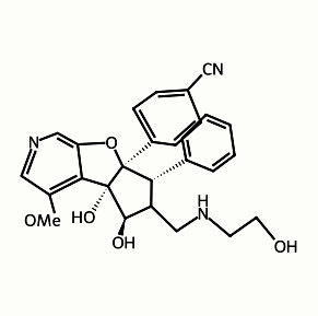 COc1cncc2c1[C@]1(O)[C@H](O)C(CNCCO)[C@@H](c3ccccc3)[C@]1(c1ccc(C#N)cc1)O2